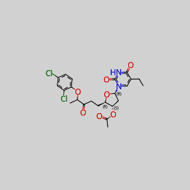 CCc1cn([C@H]2C[C@H](OC(C)=O)[C@@H](CCC(=O)C(C)Oc3ccc(Cl)cc3Cl)O2)c(=O)[nH]c1=O